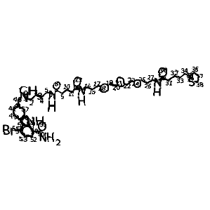 CN(CCCCNC(=O)CCCC(=O)NCCCOCCOCCOCCCNC(=O)CCCC[C@H]1CCCS1)CC1CCc2c([nH]c3c(C(N)=O)ccc(Br)c23)C1